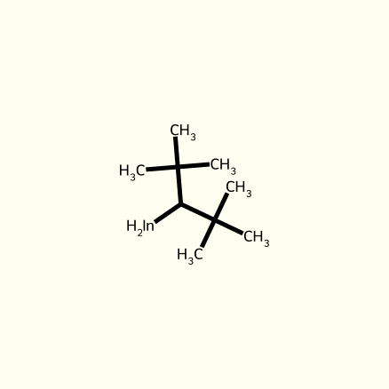 CC(C)(C)[CH]([InH2])C(C)(C)C